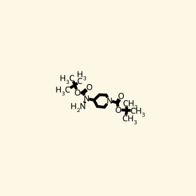 CC(C)(C)OC(=O)N1CCC(N(N)C(=O)OC(C)(C)C)CC1